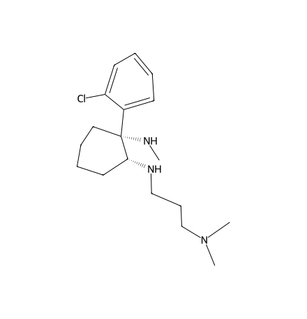 CN[C@@]1(c2ccccc2Cl)CCCC[C@H]1NCCCN(C)C